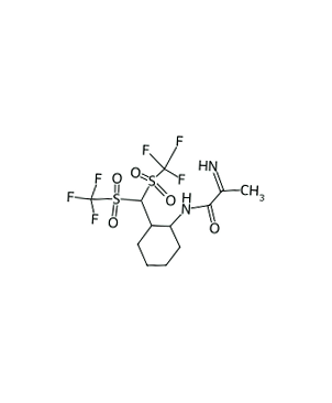 CC(=N)C(=O)NC1CCCCC1C(S(=O)(=O)C(F)(F)F)S(=O)(=O)C(F)(F)F